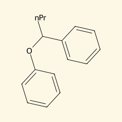 CCCC(Oc1ccccc1)c1ccccc1